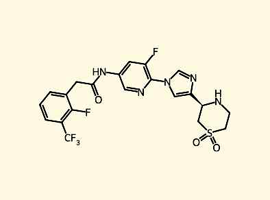 O=C(Cc1cccc(C(F)(F)F)c1F)Nc1cnc(-n2cnc([C@@H]3CS(=O)(=O)CCN3)c2)c(F)c1